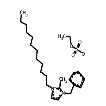 CCCCCCCCCCCC[n+]1ccn(Cc2ccccc2)c1C.CCOS(=O)(=O)[O-]